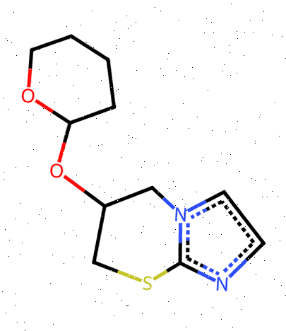 c1cn2c(n1)SCC(OC1CCCCO1)C2